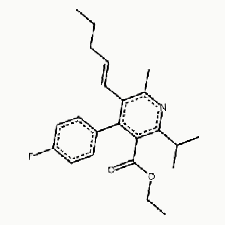 CCCC=Cc1c(C)nc(C(C)C)c(C(=O)OCC)c1-c1ccc(F)cc1